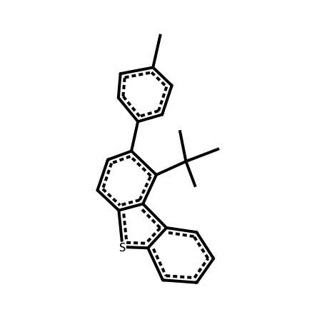 Cc1ccc(-c2ccc3sc4ccccc4c3c2C(C)(C)C)cc1